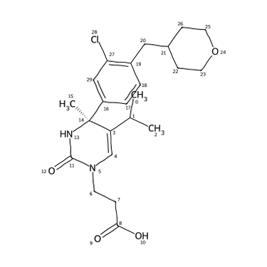 CC(C)C1=CN(CCC(=O)O)C(=O)N[C@@]1(C)c1ccc(CC2CCOCC2)c(Cl)c1